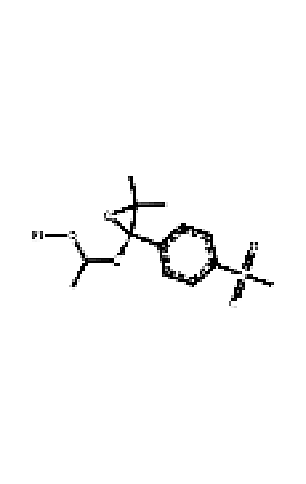 CCOC(C)O[C@@]1(c2ccc(S(C)(=O)=O)cc2)OC1(C)C